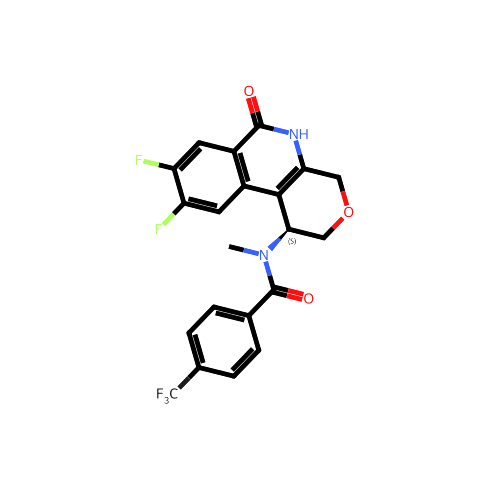 CN(C(=O)c1ccc(C(F)(F)F)cc1)[C@@H]1COCc2[nH]c(=O)c3cc(F)c(F)cc3c21